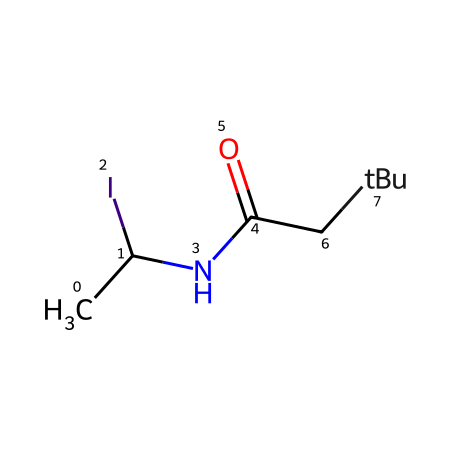 CC(I)NC(=O)CC(C)(C)C